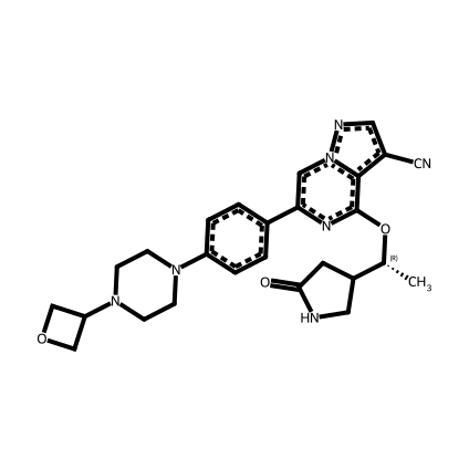 C[C@@H](Oc1nc(-c2ccc(N3CCN(C4COC4)CC3)cc2)cn2ncc(C#N)c12)C1CNC(=O)C1